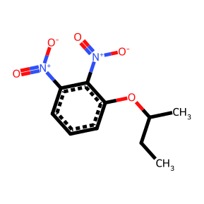 CCC(C)Oc1cccc([N+](=O)[O-])c1[N+](=O)[O-]